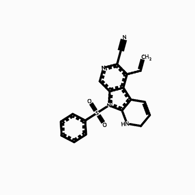 C=Cc1c(C#N)ncc2c1c1c(n2S(=O)(=O)c2ccccc2)NCC=C1